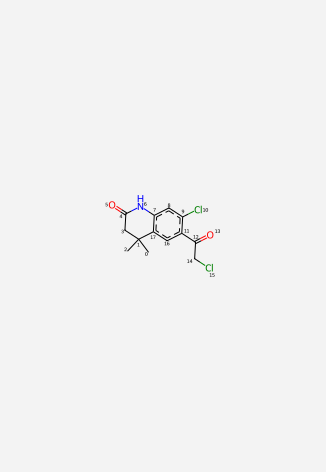 CC1(C)CC(=O)Nc2cc(Cl)c(C(=O)CCl)cc21